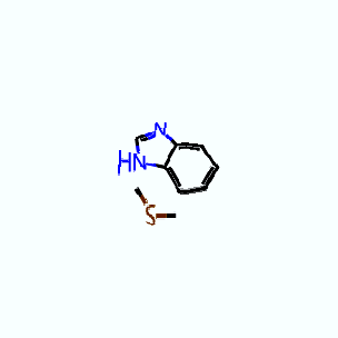 CSC.c1ccc2[nH]cnc2c1